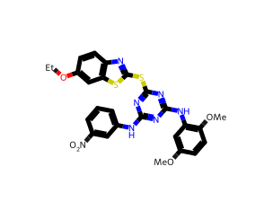 CCOc1ccc2nc(Sc3nc(Nc4cccc([N+](=O)[O-])c4)nc(Nc4cc(OC)ccc4OC)n3)sc2c1